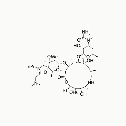 CCCN(CCN(C)C)C[C@]1(O)[C@H](C)O[C@@H](O[C@H]2[C@H](C)[C@@H](O[C@@H]3O[C@H](C)C[C@H](N(C)C(N)=O)[C@H]3O)[C@](C)(O)C[C@@H](C)CN[C@H](C)[C@@H](O)[C@](C)(O)[C@@H](CC)OC(=O)[C@@H]2C)C[C@@]1(C)OC